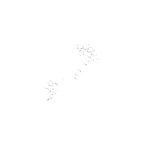 COc1cc(N2CCC(N3CCN(C(=O)CCCCCCCNc4cccc5c4C(=O)N(C4CCC(=O)NC4=O)C5=O)CC3)CC2)ccc1Nc1ncc(Cl)c(Nc2ccccc2S(=O)(=O)C(C)C)n1